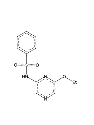 CCOc1cncc(NS(=O)(=O)c2ccccc2)n1